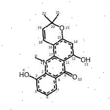 Cn1c2c(O)cccc2c(=O)c2c(O)cc3c(c21)C=CC(C)(C)O3